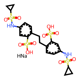 O=S(=O)(O)c1cc(NS(=O)(=O)C2CC2)ccc1CCc1ccc(NS(=O)(=O)C2CC2)cc1S(=O)(=O)O.[NaH]